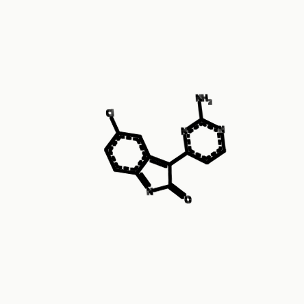 Nc1nccc(C2=c3cc(Cl)ccc3=NC2=O)n1